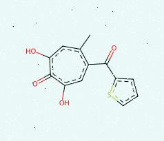 Cc1cc(O)c(=O)c(O)cc1C(=O)c1cccs1